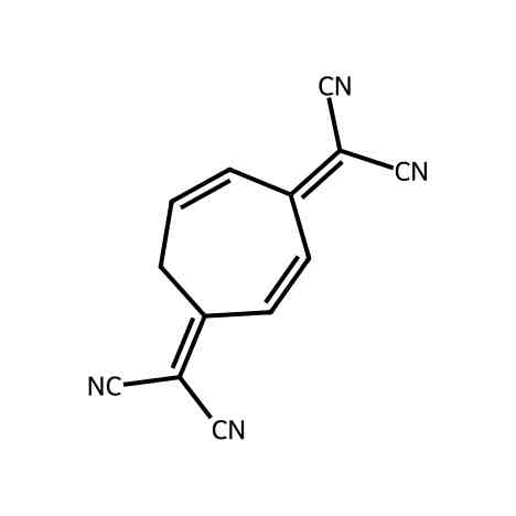 N#CC(C#N)=C1C=CCC(=C(C#N)C#N)C=C1